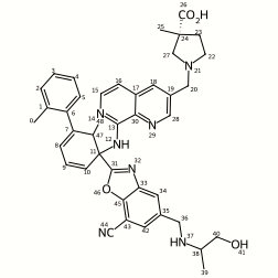 Cc1ccccc1C1=CC=CC(Nc2nccc3cc(CN4CC[C@@](C)(C(=O)O)C4)cnc23)(c2nc3cc(CNC(C)CO)cc(C#N)c3o2)C1C